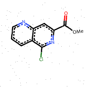 COC(=O)c1cc2ncccc2c(Cl)n1